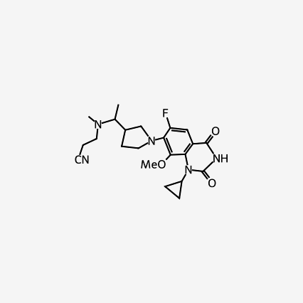 COc1c(N2CCC(C(C)N(C)CCC#N)C2)c(F)cc2c(=O)[nH]c(=O)n(C3CC3)c12